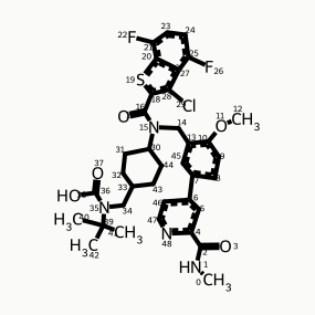 CNC(=O)c1cc(-c2ccc(OC)c(CN(C(=O)c3sc4c(F)ccc(F)c4c3Cl)C3CCC(CN(C(=O)O)C(C)(C)C)CC3)c2)ccn1